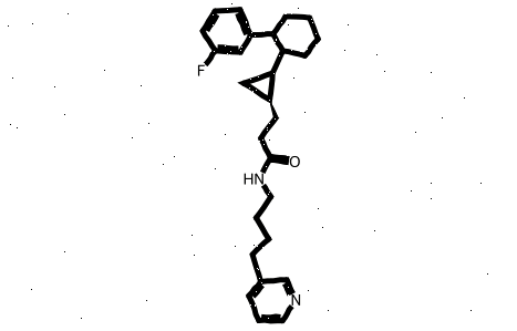 O=C(CC[C@H]1CC1C1CCCCC1c1cccc(F)c1)NCCCCc1cccnc1